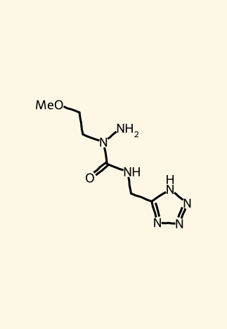 COCCN(N)C(=O)NCc1nnn[nH]1